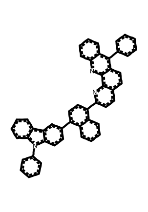 c1ccc(-c2c3ccccc3nc3c2ccc2ccc(-c4ccc(-c5ccc6c(c5)c5ccccc5n6-c5ccccc5)c5ccccc45)nc23)cc1